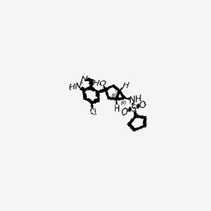 O=S(=O)(N[C@H]1[C@@H]2C[C@](O)(c3cc(Cl)cc4[nH]ncc34)C[C@@H]21)C1CCCC1